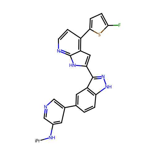 CC(C)Nc1cncc(-c2ccc3[nH]nc(-c4cc5c(-c6ccc(F)s6)ccnc5[nH]4)c3c2)c1